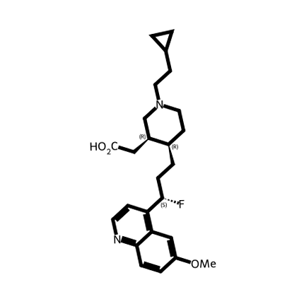 COc1ccc2nccc([C@@H](F)CC[C@@H]3CCN(CCC4CC4)C[C@@H]3CC(=O)O)c2c1